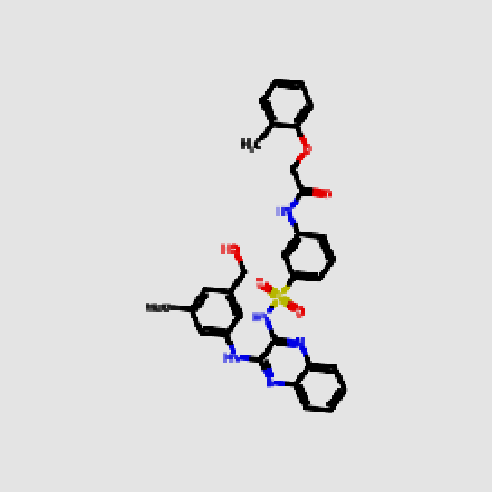 COc1cc(CO)cc(Nc2nc3ccccc3nc2NS(=O)(=O)c2cccc(NC(=O)COc3ccccc3C)c2)c1